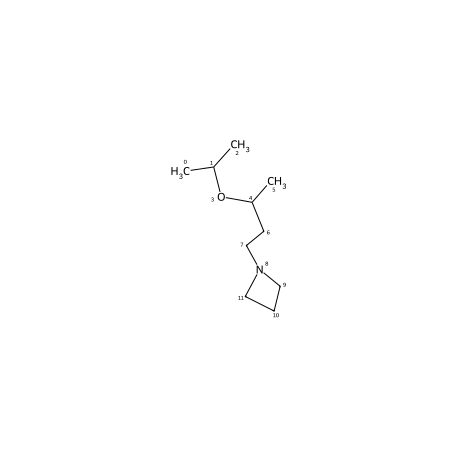 CC(C)OC(C)CCN1CCC1